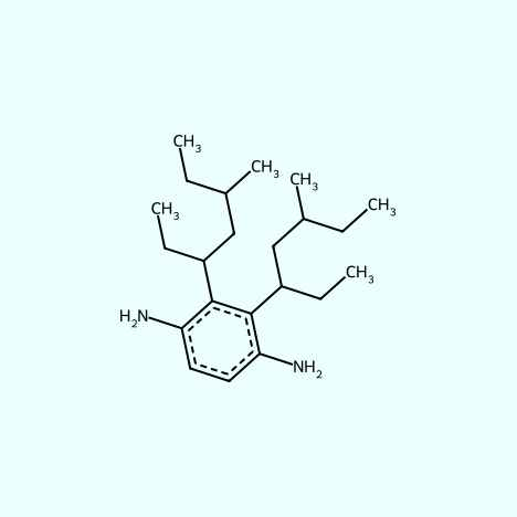 CCC(C)CC(CC)c1c(N)ccc(N)c1C(CC)CC(C)CC